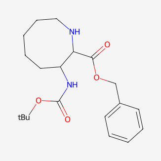 CC(C)(C)OC(=O)NC1CCCCCNC1C(=O)OCc1ccccc1